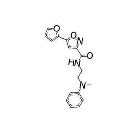 CN(CCNC(=O)c1cc(-c2ccco2)on1)c1ccccc1